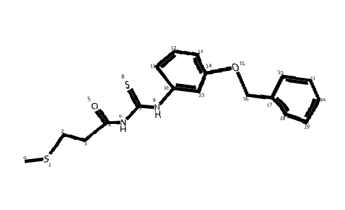 CSCCC(=O)NC(=S)Nc1cccc(OCc2ccccc2)c1